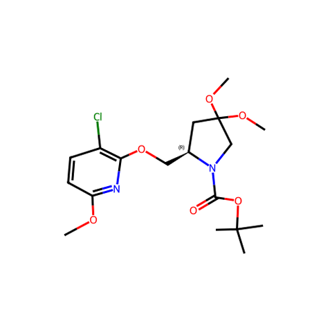 COc1ccc(Cl)c(OC[C@H]2CC(OC)(OC)CN2C(=O)OC(C)(C)C)n1